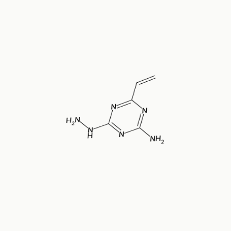 C=Cc1nc(N)nc(NN)n1